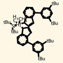 CC(C)(C)c1cc(-c2cccc3c2C=C[CH]3[Hf]([CH3])([CH3])([CH]2C=Cc3c(-c4cc(C(C)(C)C)cc(C(C)(C)C)c4)cccc32)=[Si](C(C)(C)C)C(C)(C)C)cc(C(C)(C)C)c1